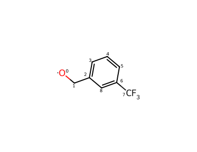 [O]Cc1cccc(C(F)(F)F)c1